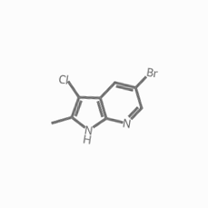 Cc1[nH]c2ncc(Br)cc2c1Cl